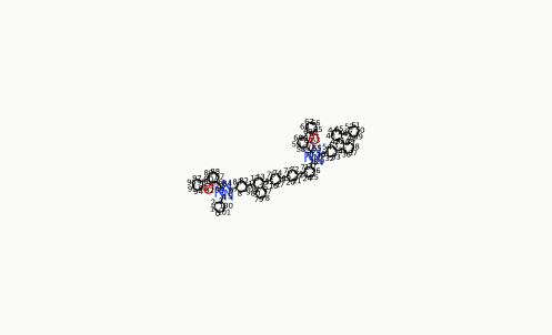 c1ccc(-c2nc(-c3ccc(-c4ccc(-c5ccc(-c6ccc(-c7cccc(-c8nc(-c9ccc(-c%10ccccc%10-c%10ccccc%10-c%10ccccc%10)cc9)nc(-c9cccc%10c9oc9ccccc9%10)n8)c7)cc6)cc5)c5ccccc45)cc3)nc(-c3cccc4c3oc3ccccc34)n2)cc1